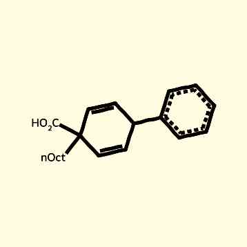 CCCCCCCCC1(C(=O)O)C=CC(c2ccccc2)C=C1